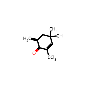 C=C1CC(C)(C)C=C(C(Cl)(Cl)Cl)C1=O